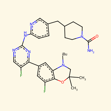 CCC(C)N1CC(C)(C)Oc2c(F)cc(-c3nc(Nc4ccc(CC5CCN(C(N)=O)CC5)cn4)ncc3F)cc21